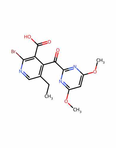 CCc1cnc(Br)c(C(=O)O)c1C(=O)c1nc(OC)cc(OC)n1